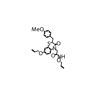 C=CCONC(=O)CN1C(=O)C(Cc2ccc(OC)cc2)Sc2cc(OCC=C)ccc21